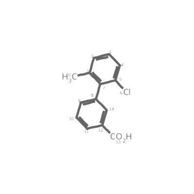 Cc1[c]ccc(Cl)c1-c1cccc(C(=O)O)c1